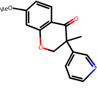 COc1ccc2c(c1)OCC(C)(c1cccnc1)C2=O